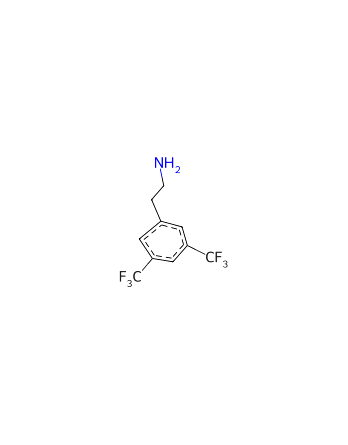 NCCc1cc(C(F)(F)F)cc(C(F)(F)F)c1